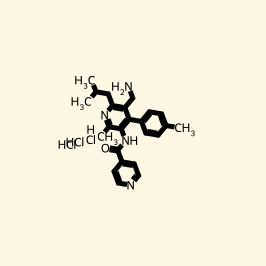 Cc1ccc(-c2c(CN)c(CC(C)C)nc(C)c2NC(=O)c2ccncc2)cc1.Cl.Cl.Cl